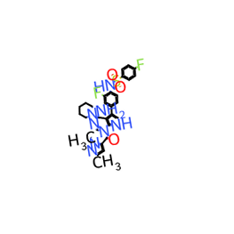 Cc1cc(C(=O)N2C=NC(N)(N3CCCCC3)c3c(-c4ccc(NS(=O)(=O)c5ccc(F)cc5)c(F)c4)c[nH]c32)n(C)n1